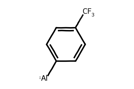 FC(F)(F)c1cc[c]([Al])cc1